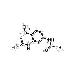 COc1ccc(NC(C)=O)cc1NC(C)=O